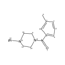 Cc1cccc(C(=O)N2CCN(C(C)C)CC2)c1